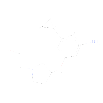 Nc1cc(OC2CCN(CCO)C2)cc(C2CC2)c1